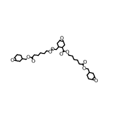 O=C(CCCCCOOCC1CC2OC2CC1C(=O)OCCCCCC(=O)OCC1CCC2OC2C1)OCC1CCC2OC2C1